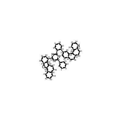 c1ccc(-c2nc(-c3ccccc3-c3ccc4ccc5ccc6ncccc6c5c4c3)nc(-c3cccc4oc5c6ccccc6ccc5c34)n2)cc1